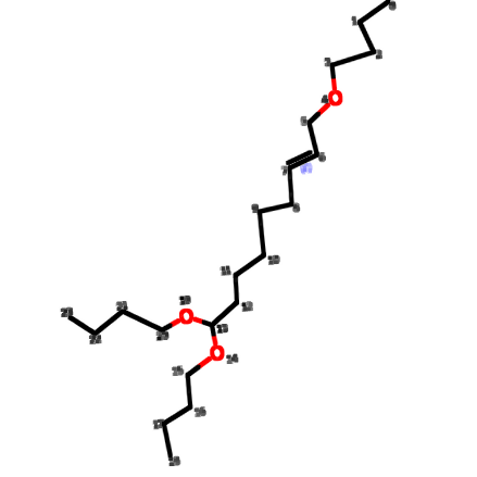 CCCCOC/C=C/CCCCCC(OCCCC)OCCCC